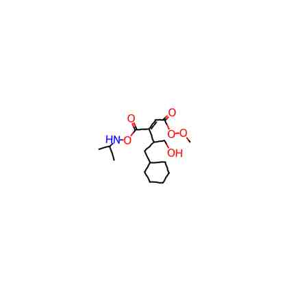 COOC(=O)/C=C(/C(=O)ONC(C)C)C(CO)CC1CCCCC1